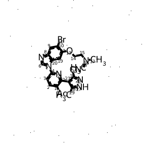 CC(=O)c1ccc(-n2cnc3cc(Br)c(OCCN(C)C)cc32)nc1-c1c(C#N)n[nH]c1C